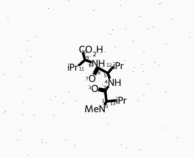 CNC(C(=O)NC(C(=O)NC(C(=O)O)C(C)C)C(C)C)C(C)C